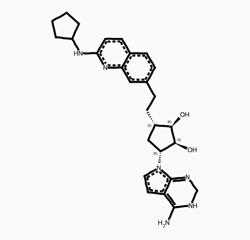 NC1=c2ccn([C@@H]3C[C@H](CCc4ccc5ccc(NC6CCCC6)nc5c4)[C@@H](O)[C@H]3O)c2=NCN1